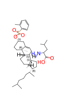 CC(C)CC(N)C(=O)O.Cc1ccccc1S(=O)(=O)O[C@H]1CC[C@@]2(C)C(=CC[C@H]3[C@@H]4CC[C@H](C(C)CCCC(C)C)[C@@]4(C)CC[C@@H]32)C1